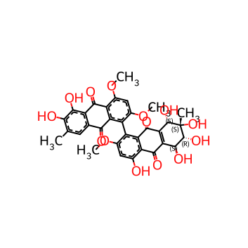 COc1cc(OC)c(-c2c(OC)cc(O)c3c2C(=O)C2=C(C3=O)[C@H](O)[C@@H](O)[C@@](C)(O)[C@H]2O)c2c1C(=O)c1c(cc(C)c(O)c1O)C2=O